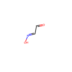 O=[C]C=NO